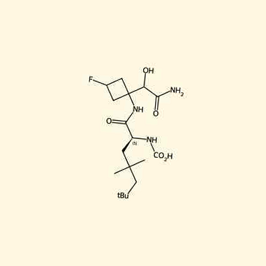 CC(C)(C)CC(C)(C)C[C@H](NC(=O)O)C(=O)NC1(C(O)C(N)=O)CC(F)C1